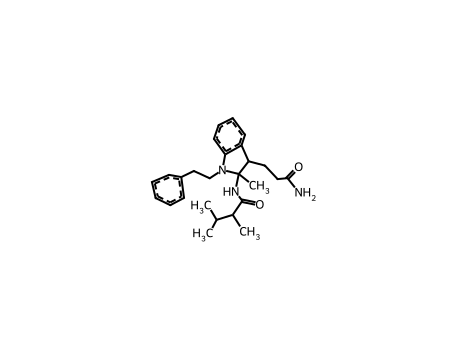 CC(C)C(C)C(=O)NC1(C)C(CCC(N)=O)c2ccccc2N1CCc1ccccc1